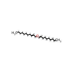 CCCCCCCCC=CCOC=CCCCCCCCC